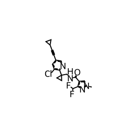 Cn1cc(C(=O)NCC2(c3ncc(C#CC4CC4)cc3Cl)CC2)c(C(F)F)n1